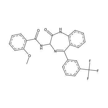 COc1ccccc1C(=O)NC1N=C(c2cccc(C(F)(F)F)c2)c2ccccc2NC1=O